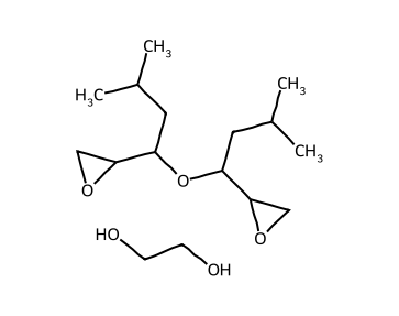 CC(C)CC(OC(CC(C)C)C1CO1)C1CO1.OCCO